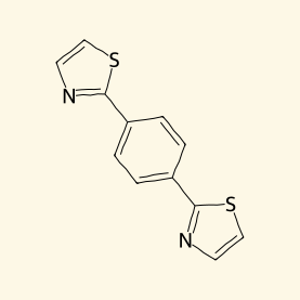 c1csc(-c2ccc(-c3nccs3)cc2)n1